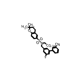 CC1(C)CCc2cc(S(=O)(=O)N(CC(=O)O)Cc3cc(F)cc(-c4cccc(C#N)c4)c3)ccc2O1